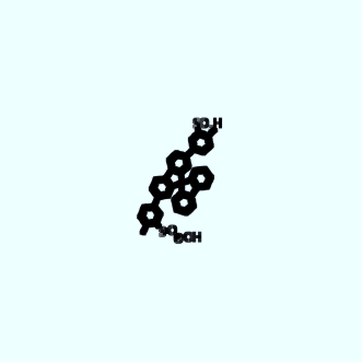 Cc1ccc(-c2ccc3c(c2)C2(c4ccccc4-c4ccccc42)c2cc(-c4ccc(C)c(S(=O)(=O)O)c4)ccc2-3)cc1SOOO